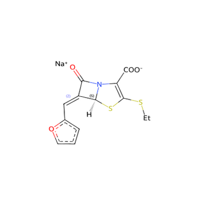 CCSC1=C(C(=O)[O-])N2C(=O)/C(=C/c3ccco3)[C@@H]2S1.[Na+]